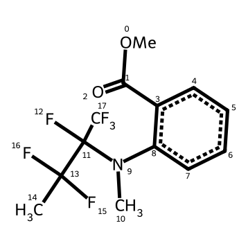 COC(=O)c1ccccc1N(C)C(F)(C(C)(F)F)C(F)(F)F